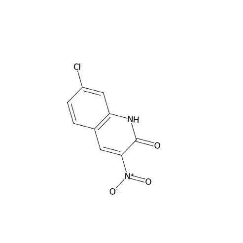 O=c1[nH]c2cc(Cl)ccc2cc1[N+](=O)[O-]